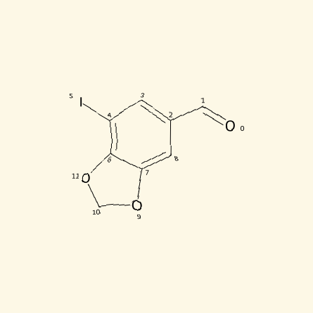 O=Cc1cc(I)c2c(c1)OCO2